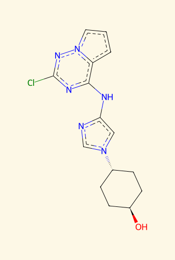 O[C@H]1CC[C@H](n2cnc(Nc3nc(Cl)nn4cccc34)c2)CC1